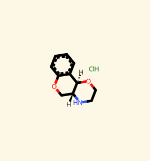 Cl.c1ccc2c(c1)OC[C@H]1NCCO[C@H]21